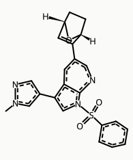 Cn1cc(-c2cn(S(=O)(=O)c3ccccc3)c3ncc(C4=C[C@@H]5CC[C@H]4O5)cc23)cn1